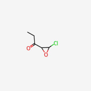 CCC(=O)C1OC1Cl